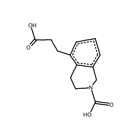 O=C(O)CCc1cccc2c1CCN(C(=O)O)C2